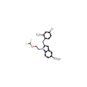 O=C(O)c1ccc2c(c1)cc(Cc1ccc(Cl)cc1C(F)(F)F)n2CCOC(F)F